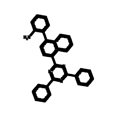 Nc1ccccc1-c1ccc(-c2nc(-c3ccccc3)nc(-c3ccccc3)n2)c2ccccc12